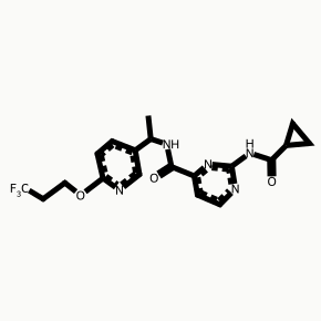 CC(NC(=O)c1ccnc(NC(=O)C2CC2)n1)c1ccc(OCCC(F)(F)F)nc1